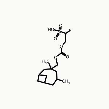 CC1CC2CC(C2)CC(C)(COC(=O)OCC(F)S(=O)(=O)O)C1